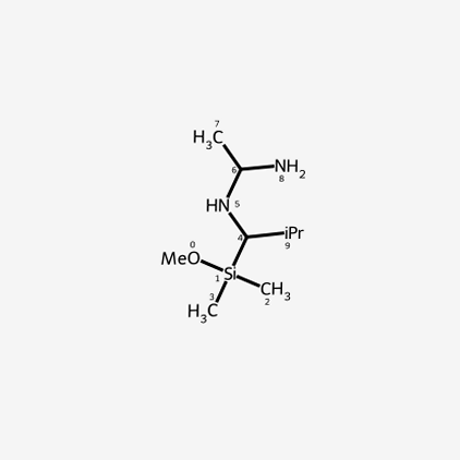 CO[Si](C)(C)C(NC(C)N)C(C)C